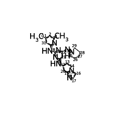 Cc1cc(C)nc(Nc2nc(Nc3ccn4ccnc4c3)cc(NN3CCCCC3)n2)c1